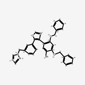 CC(C)c1cc(-c2ncoc2-c2cccc(Cn3cncn3)c2)c(OCc2ccccc2)cc1OCc1ccccc1